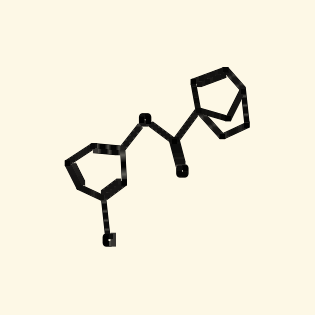 O=C(Oc1cccc(Cl)c1)C12C=CC(CC1)C2